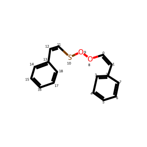 C(=C/c1ccccc1)/OOS/C=C\c1ccccc1